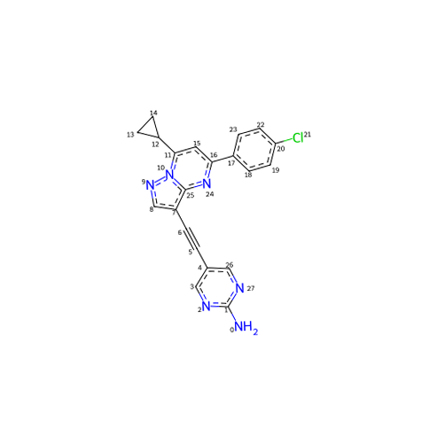 Nc1ncc(C#Cc2cnn3c(C4CC4)cc(-c4ccc(Cl)cc4)nc23)cn1